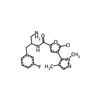 Cc1cnn(C)c1-c1cc(C(=O)NC(CN)Cc2cccc(F)c2)oc1Cl